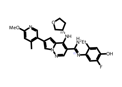 CCc1cc(O)c(F)cc1/N=C(\N)c1cnn2cc(-c3cnc(OC)cc3C)cc2c1N[C@H]1CCOC1